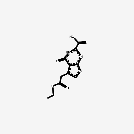 C=C(O)c1nc2scc(CC(=O)OCC)c2c(=O)[nH]1